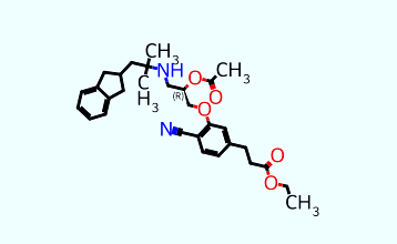 CCOC(=O)CCc1ccc(C#N)c(OC[C@@H](CNC(C)(C)CC2Cc3ccccc3C2)OC(C)=O)c1